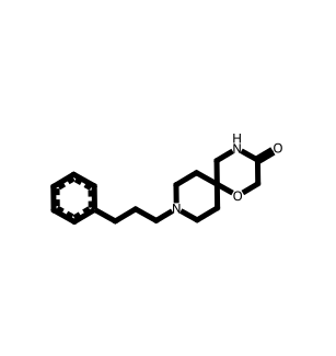 O=C1COC2(CCN(CCCc3ccccc3)CC2)CN1